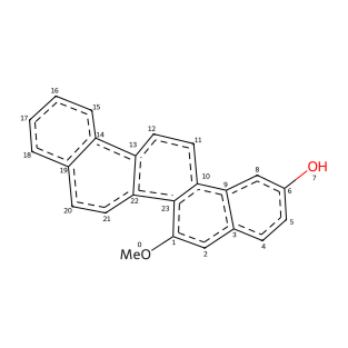 COc1cc2ccc(O)cc2c2ccc3c4ccccc4ccc3c12